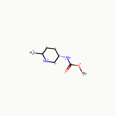 CC1CC[C@H](NC(=O)OC(C)(C)C)CN1